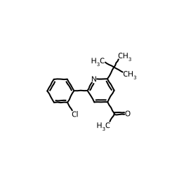 CC(=O)c1cc(-c2ccccc2Cl)nc(C(C)(C)C)c1